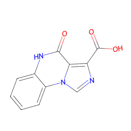 O=C(O)c1ncn2c1c(=O)[nH]c1ccccc12